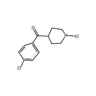 O=C(c1ccc(Cl)cc1)C1CCN(Cl)CC1